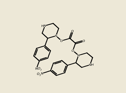 O=C(ON1CCNCC1c1ccc([N+](=O)[O-])cc1)C(=O)ON1CCNCC1c1ccc([N+](=O)[O-])cc1